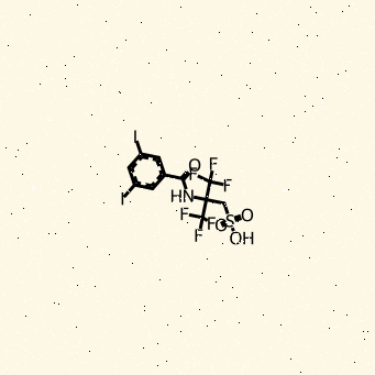 O=C(NC(CS(=O)(=O)O)(C(F)(F)F)C(F)(F)F)c1cc(I)cc(I)c1